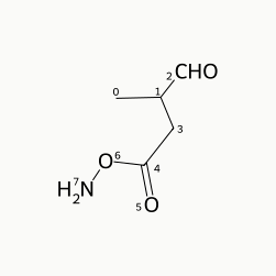 CC(C=O)CC(=O)ON